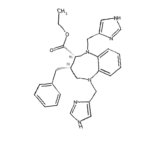 CCOC(=O)[C@H]1[C@@H](Cc2ccccc2)CN(Cc2c[nH]cn2)c2ccccc2N1Cc1c[nH]cn1